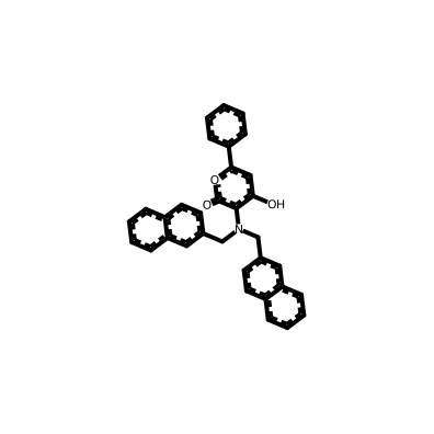 O=c1oc(-c2ccccc2)cc(O)c1N(Cc1ccc2ccccc2c1)Cc1ccc2ccccc2c1